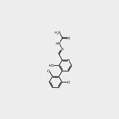 NC(=O)NN=Cc1nccc(-c2c(Cl)cccc2Cl)c1O